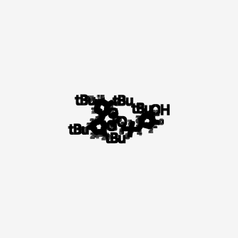 Cc1cc(CC(C)(C)COp2oc3c(C(C)(C)C)cc(C(C)(C)C)cc3c3cc(C(C)(C)C)cc(C(C)(C)C)c3o2)cc(C(C)(C)C)c1O